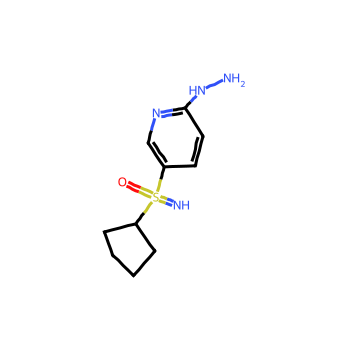 N=S(=O)(c1ccc(NN)nc1)C1CCCC1